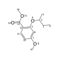 CCC(C)Oc1cc(OC)ccc1C(=O)OC